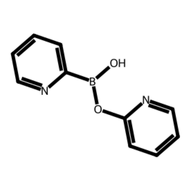 OB(Oc1ccccn1)c1ccccn1